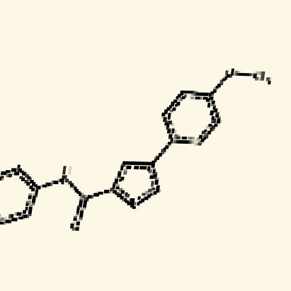 O=C(Nc1[c]cccc1)c1cc(-c2ccc(OC(F)(F)F)cc2)cs1